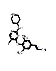 Cc1cc(/C=C/C#N)cc(C)c1Oc1nc(NC2CCNCC2)ncc1I